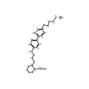 CCCCCC1CCCCC1CCCOc1ccc(-c2ccc(CCCCC[C@@H](C)CC)cn2)cc1